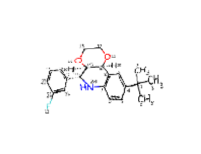 CC(C)(C)c1ccc2c(c1)[C@@H]1OCCO[C@@H]1[C@@H](c1cccc(F)c1)N2